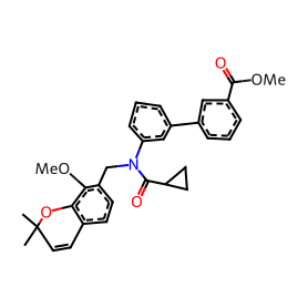 COC(=O)c1cccc(-c2cccc(N(Cc3ccc4c(c3OC)OC(C)(C)C=C4)C(=O)C3CC3)c2)c1